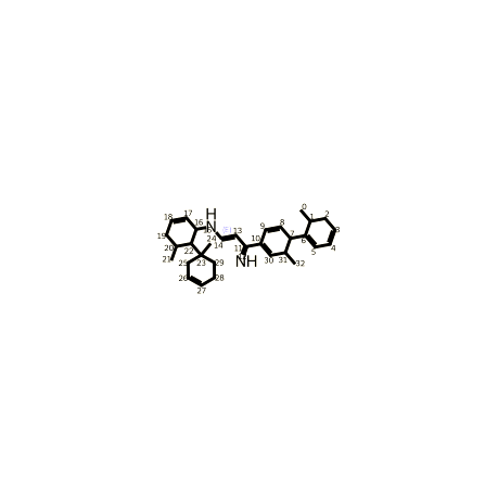 CC1CC=CC=C1C1C=CC(C(=N)/C=C/NC2C=CCC(C)C2C2(C)CC=CCC2)=CC1C